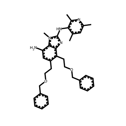 Cc1cc(C)c(Nc2nc3c(CCOCc4ccccc4)c(CCOCc4ccccc4)cc(N)c3n2C)c(C)n1